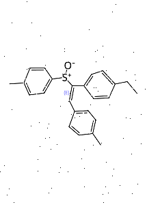 CCc1ccc(/C(=C\c2ccc(C)cc2)[S+]([O-])c2ccc(C)cc2)cc1